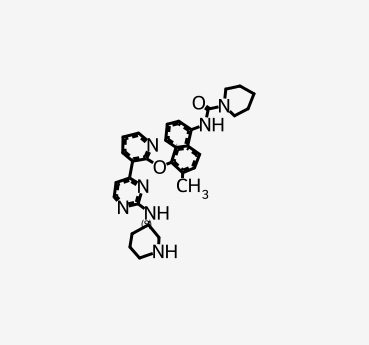 Cc1ccc2c(NC(=O)N3CCCCC3)cccc2c1Oc1ncccc1-c1ccnc(N[C@H]2CCCNC2)n1